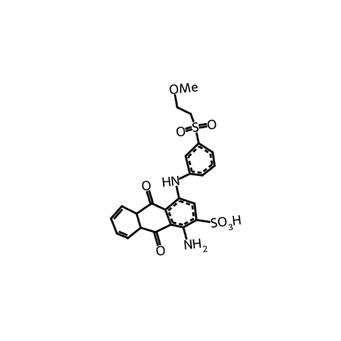 COCCS(=O)(=O)c1cccc(Nc2cc(S(=O)(=O)O)c(N)c3c2C(=O)C2C=CC=CC2C3=O)c1